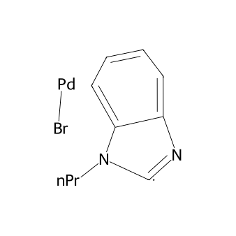 CCCn1[c]nc2ccccc21.[Br][Pd]